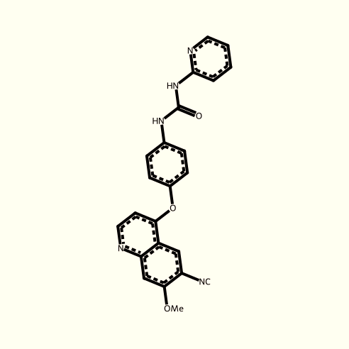 [C-]#[N+]c1cc2c(Oc3ccc(NC(=O)Nc4ccccn4)cc3)ccnc2cc1OC